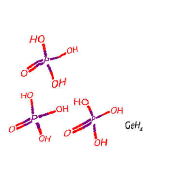 O=P(O)(O)O.O=P(O)(O)O.O=P(O)(O)O.[GeH4]